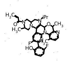 C=CC(=O)N1CC2CN(C(C)C)C3=C(c4cc(F)c(-c5c(O)cccc5F)nc4N4c5c(C)ccnc5C(C)OC34)N2CC1C